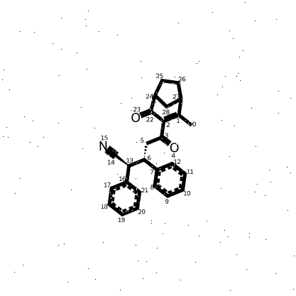 CC1=C(C(=O)C[C@H](c2ccccc2)[C@H](C#N)c2ccccc2)C(=O)C2CCC1C2